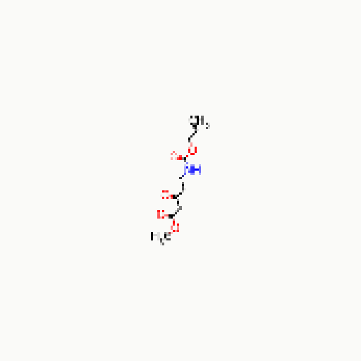 C=CCOC(=O)NCCC(=O)CC(=O)OC